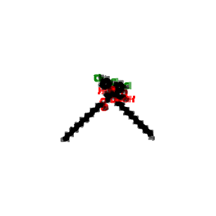 CCCCCCCCCCCCCCCC(=O)OCC(C)C(OC(=O)CCCCCCCCCCCCCCC)(C(=O)O)C(CC(=O)O)c1cc(Cl)ccc1Oc1ccc(Cl)cc1Cl